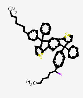 CCCCCCc1ccc(C2(c3ccccc3)c3cc4c(cc3-c3sccc32)C(c2ccccc2)(c2ccc(C(I)CCCCC)cc2)c2ccsc2-4)cc1